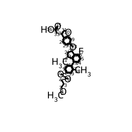 COCCCS(=O)(=O)c1cc(C)c(-c2ccc(F)c3c2CC[C@H]3Oc2ccc3c(c2)OC[C@H]3CC(=O)O)c(C)c1